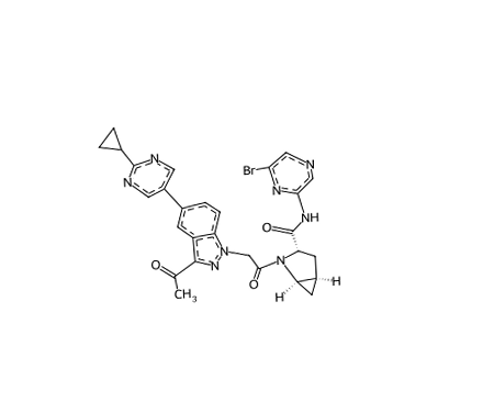 CC(=O)c1nn(CC(=O)N2[C@@H]3C[C@@H]3C[C@H]2C(=O)Nc2cncc(Br)n2)c2ccc(-c3cnc(C4CC4)nc3)cc12